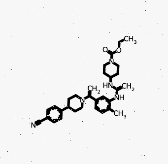 C=C(Nc1cc(C(=C)N2CCC(c3ccc(C#N)cc3)CC2)ccc1C)NC1CCN(C(=O)OCC)CC1